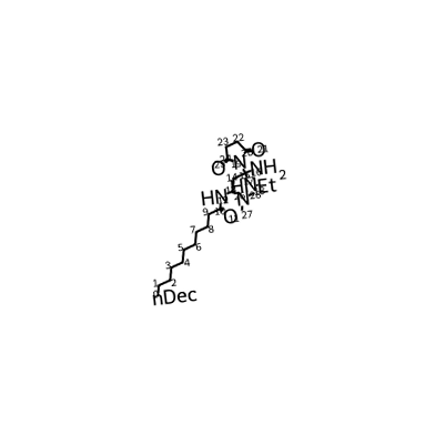 CCCCCCCCCCCCCCCCCCCC(=O)NC(CC(N)(NCC)N1C(=O)CCC1=O)N(C)C